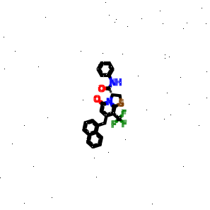 O=C(Nc1ccccc1)[C@@H]1CSc2c(C(F)(F)F)c(Cc3cccc4ccccc34)cc(=O)n21